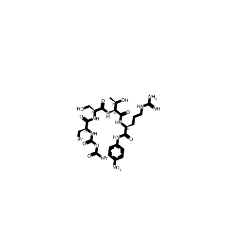 CCCC(=O)OC(=O)N[C@@H](CC(C)C)C(=O)N[C@@H](CO)C(=O)N[C@H](C(=O)N[C@@H](CCCNC(=N)N)C(=O)Nc1ccc([N+](=O)[O-])cc1)[C@@H](C)O